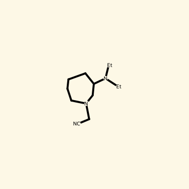 CCN(CC)C1CCCCN(CC#N)C1